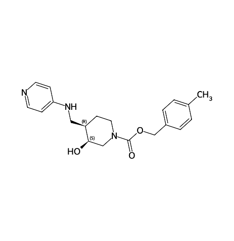 Cc1ccc(COC(=O)N2CC[C@H](CNc3ccncc3)[C@H](O)C2)cc1